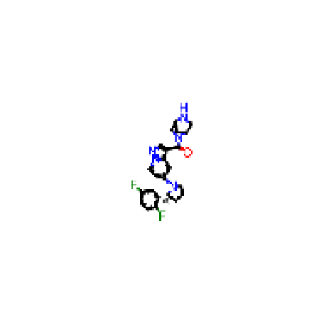 O=C(c1cnn2ccc(N3CCC[C@@H]3c3cc(F)ccc3F)cc12)N1CC2CC1CN2